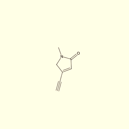 C#CC1=CC(=O)N(C)C1